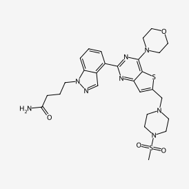 CS(=O)(=O)N1CCN(Cc2cc3nc(-c4cccc5c4cnn5CCCC(N)=O)nc(N4CCOCC4)c3s2)CC1